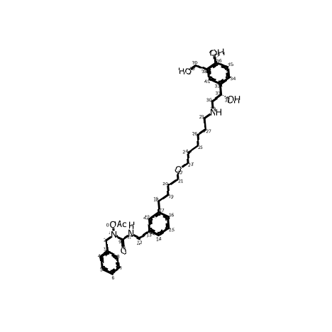 CC(=O)ON(Cc1ccccc1)C(=O)NCc1cccc(CCCCOCCCCCCNC[C@@H](O)c2ccc(O)c(CO)c2)c1